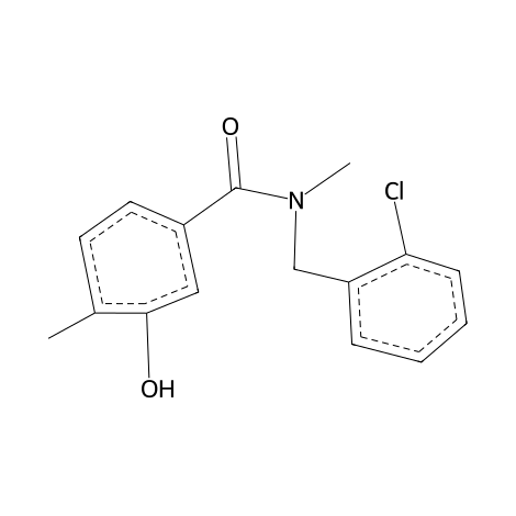 Cc1ccc(C(=O)N(C)Cc2ccccc2Cl)cc1O